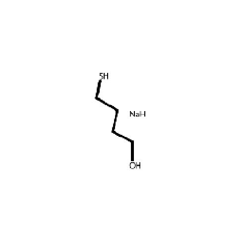 OCCCCS.[NaH]